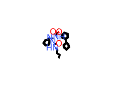 CCCCNC(=O)n1c(NC(=O)OC)nc2ccccc21.c1ccc(-c2ccccc2)cc1